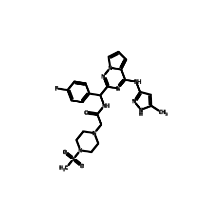 Cc1cc(Nc2nc(C(NC(=O)CN3CCN(S(C)(=O)=O)CC3)c3ccc(F)cc3)nn3cccc23)n[nH]1